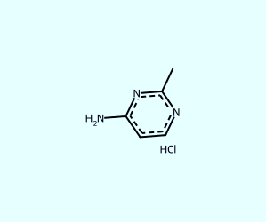 Cc1nccc(N)n1.Cl